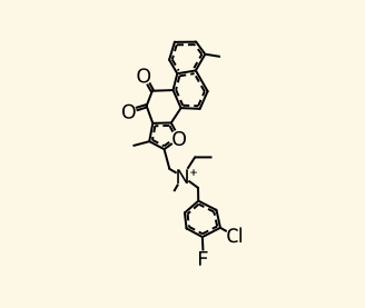 CC[N+](C)(Cc1ccc(F)c(Cl)c1)Cc1oc2c(c1C)C(=O)C(=O)c1c-2ccc2c(C)cccc12